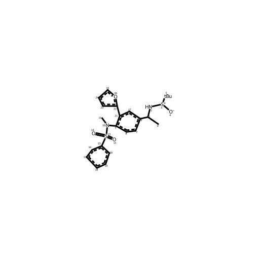 CC(N[S+]([O-])C(C)(C)C)c1ccc(N(C)S(=O)(=O)c2ccccc2)c(-c2ccco2)c1